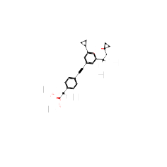 COC(=O)C(C)(C)c1ccc(C#Cc2cc(C3CC3)c3c(c2)C(C)(C)CC2(CC2)O3)cc1